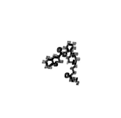 NC(=O)CCCN1CCN(c2ccccc2OC(=O)C2=Cc3ccccc3SC2)CC1